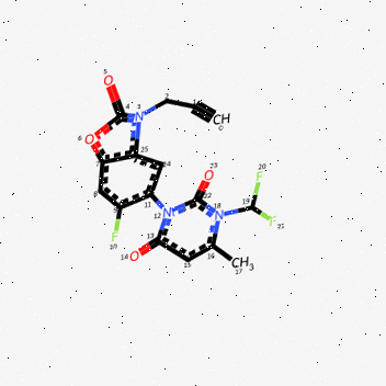 C#CCn1c(=O)oc2cc(F)c(-n3c(=O)cc(C)n(C(F)F)c3=O)cc21